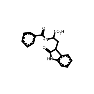 O=C(NC(CC1C(=O)Nc2ccccc21)C(=O)O)c1ccccc1